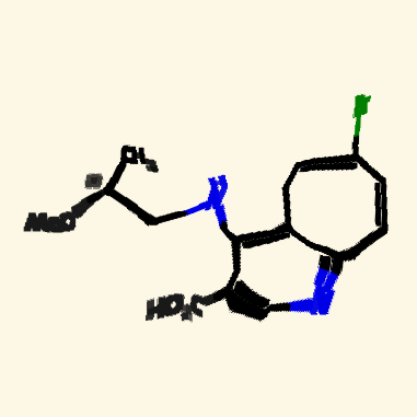 CO[C@@H](C)CNc1c(C(=O)O)cnc2ccc(Br)cc12